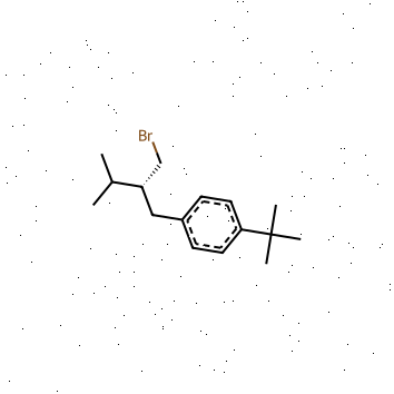 CC(C)[C@H](CBr)Cc1ccc(C(C)(C)C)cc1